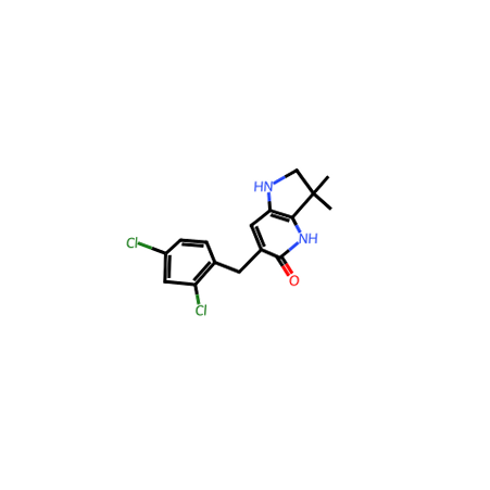 CC1(C)CNc2cc(Cc3ccc(Cl)cc3Cl)c(=O)[nH]c21